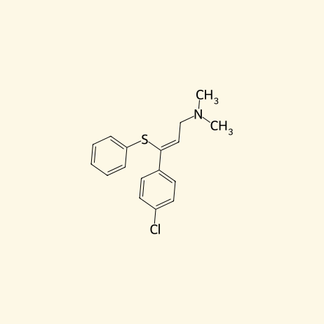 CN(C)C/C=C(\Sc1ccccc1)c1ccc(Cl)cc1